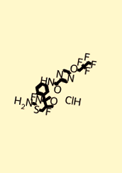 Cl.NC1=NC2(c3cc(NC(=O)c4cnc(OCC(F)(F)C(F)F)cn4)ccc3F)COCC2(F)CS1